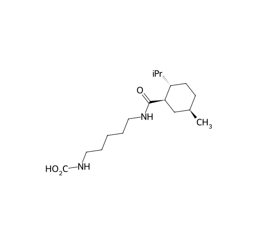 CC(C)[C@@H]1CC[C@@H](C)C[C@H]1C(=O)NCCCCCNC(=O)O